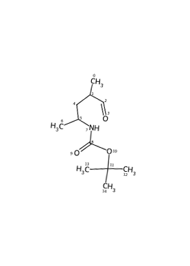 CC(C=O)CC(C)NC(=O)OC(C)(C)C